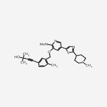 CNc1ncc(-c2cnc(C3CCN(C)CC3)s2)cc1OCc1cc(C#CC(C)(C)O)ccc1C